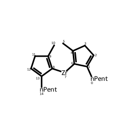 CCCCCC1=CCC(C)=[C]1[Zr][C]1=C(C)CC=C1CCCCC